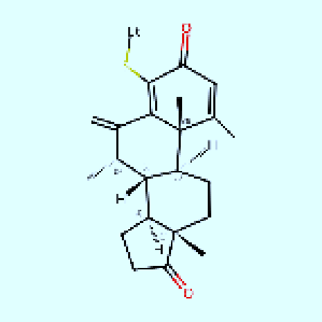 C=C1C2=C(SCC)C(=O)C=C(C)[C@]2(C)[C@H]2CC[C@]3(C)C(=O)CC[C@H]3[C@@H]2[C@@H]1C